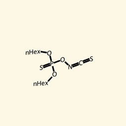 CCCCCCOP(=S)(OCCCCCC)ON=C=S